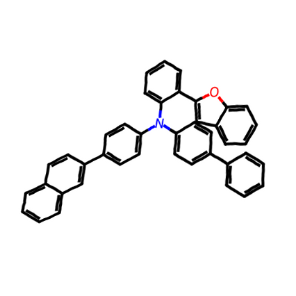 c1ccc(-c2ccc(N(c3ccc(-c4ccc5ccccc5c4)cc3)c3ccccc3-c3cc4ccccc4o3)cc2)cc1